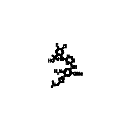 COc1cc(N2CC(CN(C)C)C2)c(N)cc1Nc1ncnc(Nc2cc(Cl)c(F)cc2C(C)(C)O)n1